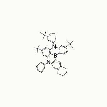 CC(C)(C)c1cccc(N2c3cc(C(C)(C)C)ccc3B3c4cc5c(cc4N(c4ccccc4)c4cc(C(C)(C)C)cc2c43)CCCC5)c1